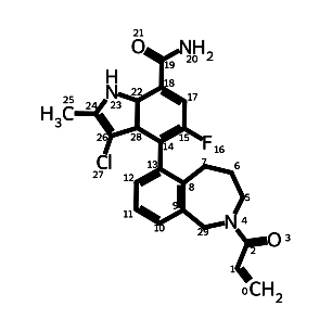 C=CC(=O)N1CCCc2c(cccc2C2=C(F)C=C(C(N)=O)C3NC(C)=C(Cl)C23)C1